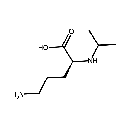 CC(C)N[C@@H](CCCN)C(=O)O